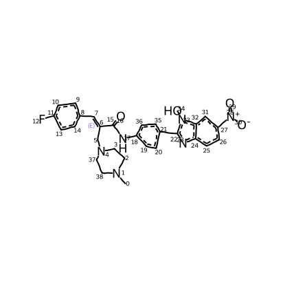 CN1CCN(C/C(=C\c2ccc(F)cc2)C(=O)Nc2ccc(-c3nc4ccc([N+](=O)[O-])cc4n3O)cc2)CC1